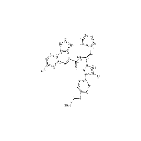 CCOC(=O)CCc1ccc(-c2nc([C@H](Cc3ccccc3)NC(=O)/C=C/c3cc(Cl)ccc3-n3cnnn3)[nH]c2Cl)cc1